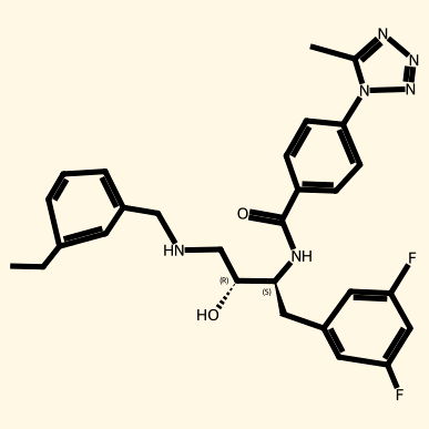 CCc1cccc(CNC[C@@H](O)[C@H](Cc2cc(F)cc(F)c2)NC(=O)c2ccc(-n3nnnc3C)cc2)c1